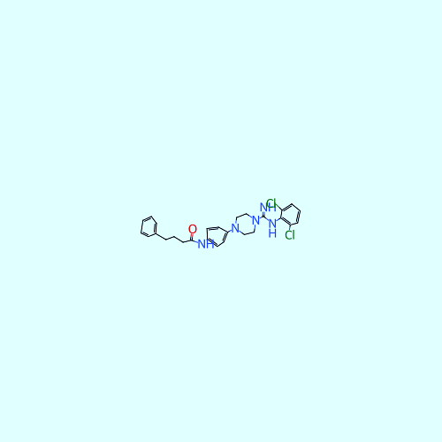 N=C(Nc1c(Cl)cccc1Cl)N1CCN(c2ccc(NC(=O)CCCc3ccccc3)cc2)CC1